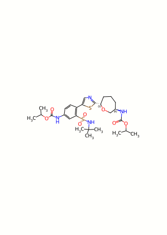 CC(C)OC(=O)Nc1ccc(-c2cnc([C@@H]3CCC[C@@H](NC(=O)OC(C)C)CO3)s2)c(S(=O)(=O)NC(C)(C)C)c1